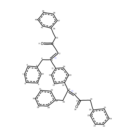 O=C(/C=C(\Cc1ccccc1)c1ccc(/C(=C/C(=O)Cc2ccccc2)Cc2ccccc2)cc1)Cc1ccccc1